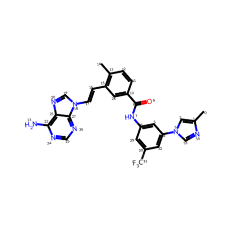 Cc1cn(-c2cc(NC(=O)c3ccc(C)c(/C=C/n4cnc5c(N)ncnc54)c3)cc(C(F)(F)F)c2)cn1